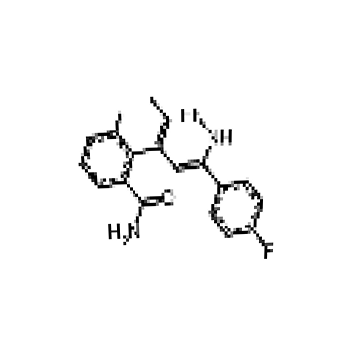 C/C=C(/C=C(\NCC)c1ccc(F)cc1)c1c(F)cccc1C(N)=O